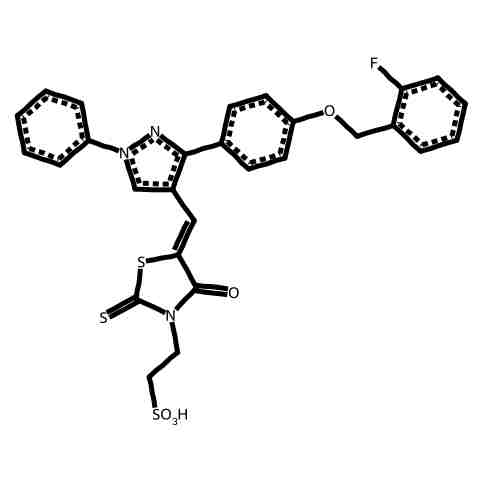 O=C1C(=Cc2cn(-c3ccccc3)nc2-c2ccc(OCc3ccccc3F)cc2)SC(=S)N1CCS(=O)(=O)O